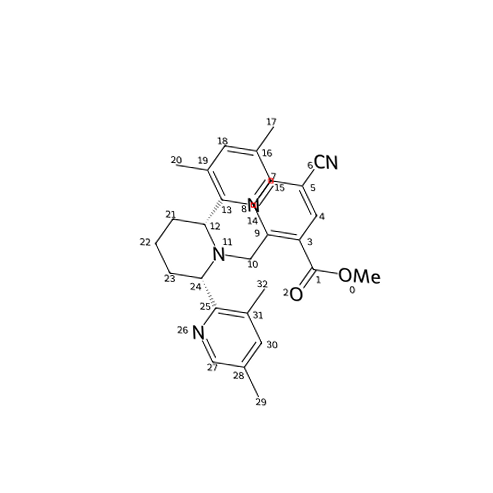 COC(=O)c1cc(C#N)ccc1CN1[C@@H](c2ncc(C)cc2C)CCC[C@H]1c1ncc(C)cc1C